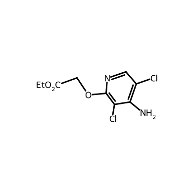 CCOC(=O)COc1ncc(Cl)c(N)c1Cl